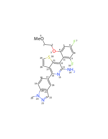 COCCOc1cc(F)cc(F)c1-c1c(N)nc(-c2ccc3c(cnn3C)c2)c2ccsc12